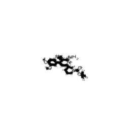 COc1cc2ncc3c(N)nc(C4CCCN(C(=O)OC(C)(C)C)C4)cc3c2cc1OC